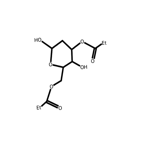 CCC(=O)OCC1OC(O)CC(OC(=O)CC)C1O